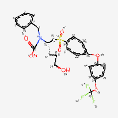 O=C(O)N(Cc1ccccc1)[C@@H](CCCO)CS(=O)(=O)c1ccc(Oc2ccc(OC(F)(F)F)cc2)cc1